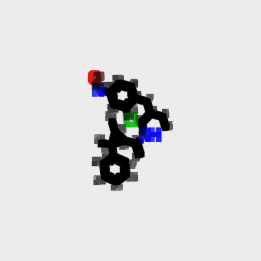 C=C(NCC(CC)Cc1ccc(N=O)cc1Cl)C1C(C)C1(C)c1ccccc1